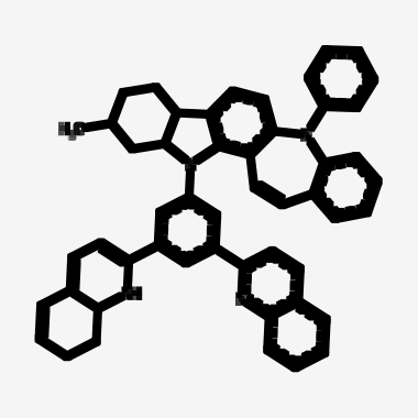 CC1CCC2c3ccc4c(c3N(c3cc(C5=CC=C6C=CCCC6N5)cc(-c5ccc6ccccc6n5)c3)C2C1)C=Cc1ccccc1N4c1ccccc1